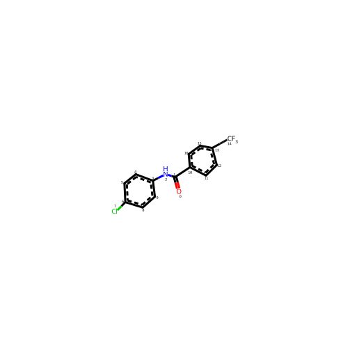 O=C(Nc1ccc(Cl)cc1)c1ccc(C(F)(F)F)cc1